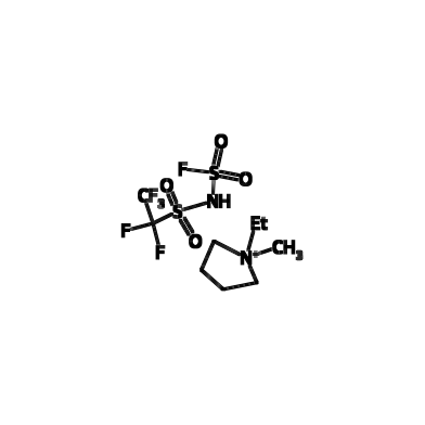 CC[N+]1(C)CCCC1.O=S(=O)(F)NS(=O)(=O)C(F)(F)C(F)(F)F